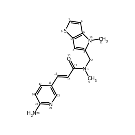 CN(Cc1cc2sccc2n1C)C(=O)/C=C/c1ccc(N)nc1